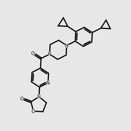 O=C(c1ccc(N2CCOC2=O)nc1)N1CCN(c2ccc(C3CC3)cc2C2CC2)CC1